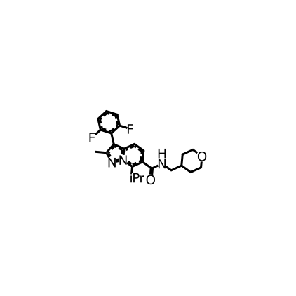 Cc1nn2c(C(C)C)c(C(=O)NCC3CCOCC3)ccc2c1-c1c(F)cccc1F